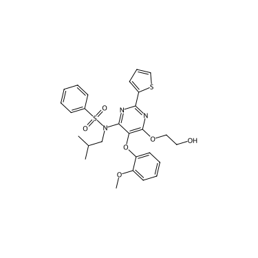 COc1ccccc1Oc1c(OCCO)nc(-c2cccs2)nc1N(CC(C)C)S(=O)(=O)c1ccccc1